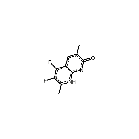 Cc1[nH]c2nc(=O)c(C)cc-2c(F)c1F